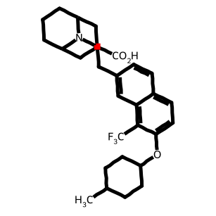 CC1CCC(Oc2ccc3ccc(CCN4C5CCCC4CC(C(=O)O)C5)cc3c2C(F)(F)F)CC1